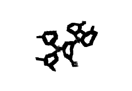 Cc1cccc(N(c2cc(C)cc(C)c2)c2cc(Cl)cc(-n3c4cccc(C)c4c4c(C)cccc43)c2)c1